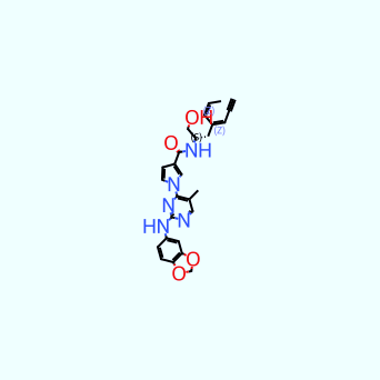 C#C/C=C(\C=C/C)C[C@@H](CO)NC(=O)c1ccn(-c2nc(Nc3ccc4c(c3)OCO4)ncc2C)c1